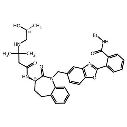 CCNC(=O)c1ccccc1-c1nc2cc(CN3C(=O)[C@H](NC(=O)CC(C)(C)NC[C@@H](C)O)CCc4ccccc43)ccc2o1